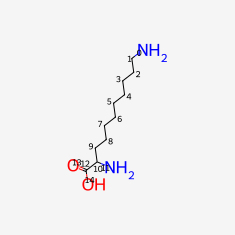 NCCCCCCCCCC(N)C(=O)O